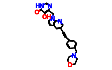 O=c1[nH]cnc(Cn2ccc3cc(C#Cc4ccc(CN5CCOCC5)cc4)cnc32)c1O